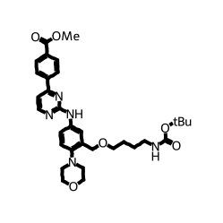 COC(=O)c1ccc(-c2ccnc(Nc3ccc(N4CCOCC4)c(COCCCCNC(=O)OC(C)(C)C)c3)n2)cc1